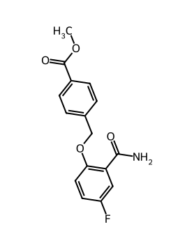 COC(=O)c1ccc(COc2ccc(F)cc2C(N)=O)cc1